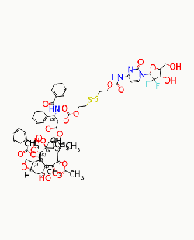 CC(=O)O[C@H]1C(=O)[C@@]2(C)[C@H]([C@H](OC(=O)c3ccccc3)[C@]3(O)C[C@H](OC(=O)C(OC(=O)OCCSSCCOC(=O)Nc4ccn(C5OC(CO)C(O)C5(F)F)c(=O)n4)[C@@H](NC(=O)c4ccccc4)c4ccccc4)C(C)=C1C3(C)C)[C@]1(OC(C)=O)CO[C@@H]1C[C@@H]2O